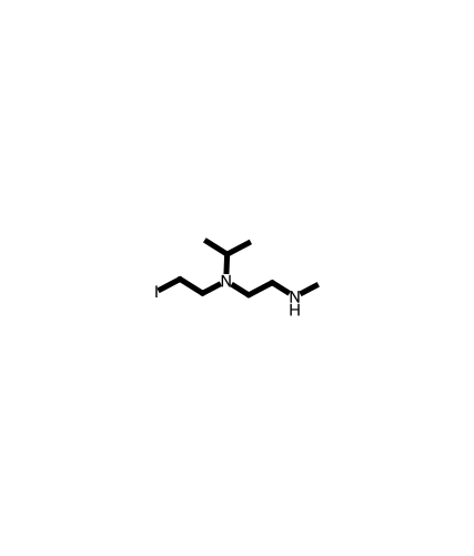 CNCCN(CCI)C(C)C